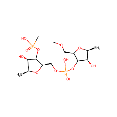 B[C@@H]1O[C@H](CO[PH](O)(O)OC2[C@@H](COC)O[C@@H](B)[C@H]2O)C(OP(C)(=O)O)[C@@H]1O